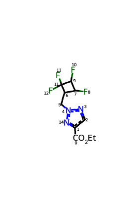 CCOC(=O)c1cnn(CC2C(F)C(F)C2(F)F)n1